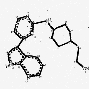 OCCC1CCC(Nc2nccc(-c3c[nH]c4ncccc34)n2)CC1